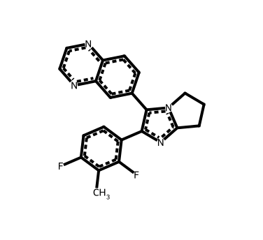 Cc1c(F)ccc(-c2nc3n(c2-c2ccc4nccnc4c2)CCC3)c1F